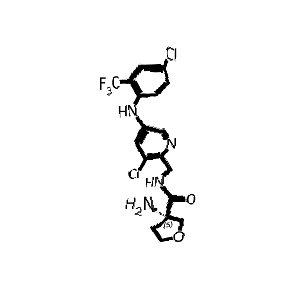 N[C@@]1(C(=O)NCc2ncc(Nc3ccc(Cl)cc3C(F)(F)F)cc2Cl)CCOC1